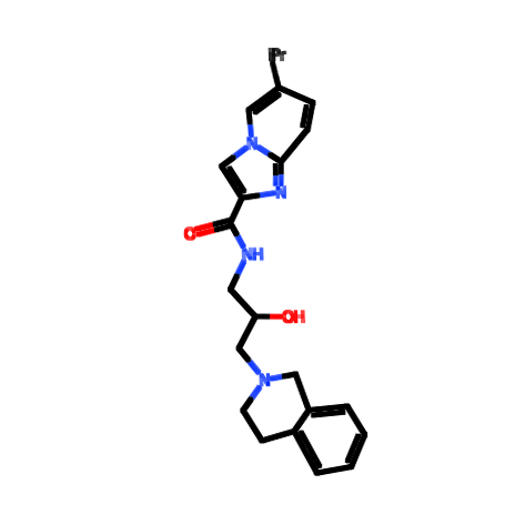 CC(C)c1ccc2nc(C(=O)NCC(O)CN3CCc4ccccc4C3)cn2c1